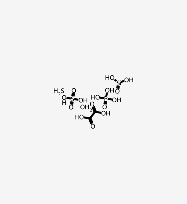 O.O=C(O)C(=O)O.O=P(O)(O)O.O=S(=O)(O)O.O=[Si](O)O.S